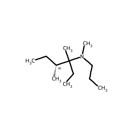 CCCN(C)C(C)(CC)[C@H](C)CC